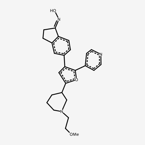 COCCN1CCCC(c2cc(-c3ccc4c(c3)CC/C4=N\O)c(-c3ccncc3)o2)C1